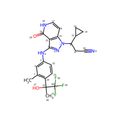 Cc1cc(Nc2nn(C(CC#N)C3CC3)c3cc[nH]c(=O)c23)ccc1C(C)(O)C(F)(F)F